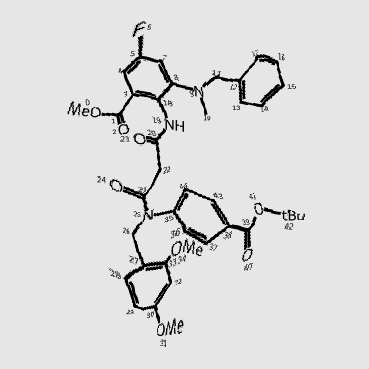 COC(=O)c1cc(F)cc(N(C)Cc2ccccc2)c1NC(=O)CC(=O)N(Cc1ccc(OC)cc1OC)c1ccc(C(=O)OC(C)(C)C)cc1